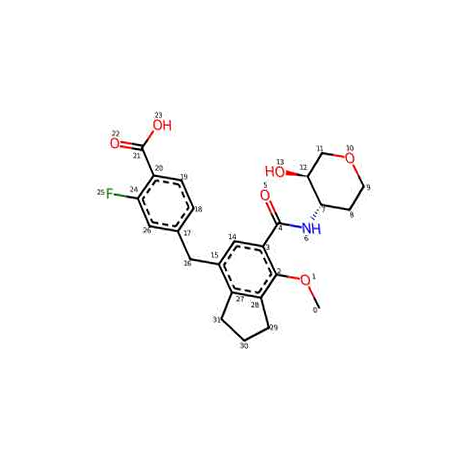 COc1c(C(=O)N[C@H]2CCOC[C@@H]2O)cc(Cc2ccc(C(=O)O)c(F)c2)c2c1CCC2